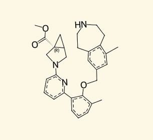 COC(=O)[C@]12CC1CN(c1cccc(-c3cccc(C)c3OCc3cc(C)c4c(c3)CCNCC4)n1)C2